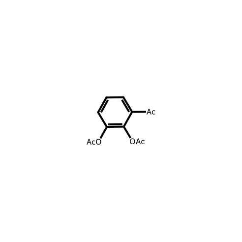 CC(=O)Oc1cccc(C(C)=O)c1OC(C)=O